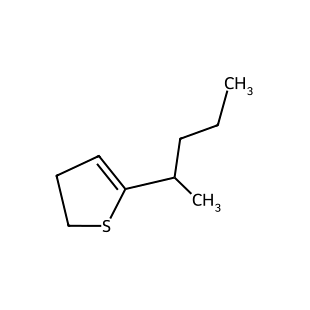 CCCC(C)C1=CCCS1